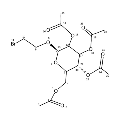 CC(=O)OCC1O[C@@H](OCCBr)C(OC(C)=O)C(OC(C)=O)[C@@H]1OC(C)=O